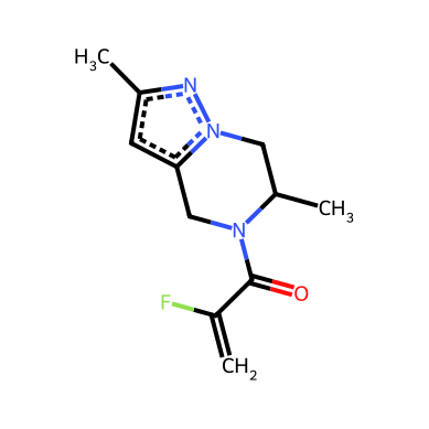 C=C(F)C(=O)N1Cc2cc(C)nn2CC1C